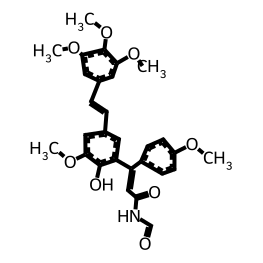 COc1ccc(/C(=C\C(=O)NC=O)c2cc(/C=C/c3cc(OC)c(OC)c(OC)c3)cc(OC)c2O)cc1